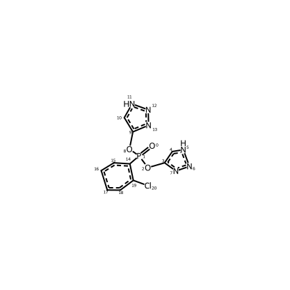 O=P(Oc1c[nH]nn1)(Oc1c[nH]nn1)c1ccccc1Cl